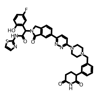 O=C1CCC(c2cccc(CN3CCN(c4ccc(-c5ccc6c(c5)C(=O)N(C(C(=O)Nc5nccs5)c5cc(F)ccc5O)C6)nn4)CC3)c2)C(=O)N1